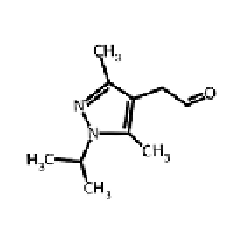 Cc1nn(C(C)C)c(C)c1CC=O